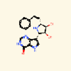 O=c1[nH]cnc2c([C@@H]3N[C@H](/C=C\c4ccccc4)[C@@H](O)[C@H]3O)c[nH]c12